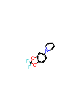 FC1(F)Oc2ccc(N3C=CC=CC3)cc2O1